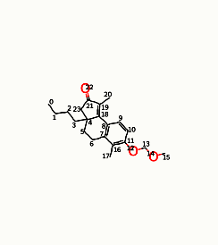 CCCCC12CCc3c(ccc(OCOC)c3C)C1=C(C)C(=O)C2